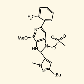 COc1nc(-c2ccccc2C(F)(F)F)cc2c1NC(c1cc(C(C)(C)C)nn1C)N2OS(C)(=O)=O